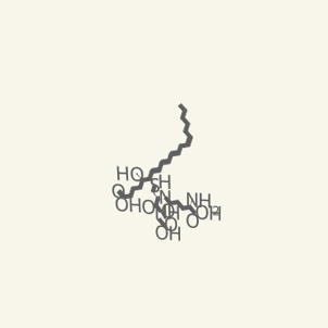 CCCCC/C=C\C/C=C/C=C/C=C/[C@@H](SC[C@H](NC(=O)CC[C@H](N)C(=O)O)C(=O)NCC(=O)O)[C@@H](O)CCCC(=O)O